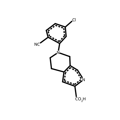 N#Cc1ccc(Cl)cc1N1CCc2cc(C(=O)O)ncc2C1